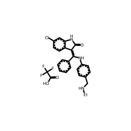 CCNCc1ccc(N/C(=C2\C(=O)Nc3cc(Cl)ccc32)c2ccccc2)cc1.O=C(O)C(F)(F)F